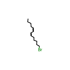 CCCC/C=C\C=C/CCCCCBr